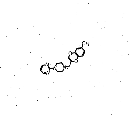 Oc1ccc2c(c1)OC=C(CN1CCN(c3ncccn3)CC1)O2